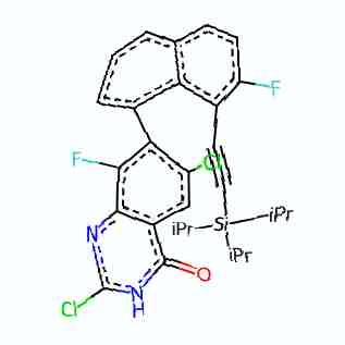 CC(C)[Si](C#Cc1c(F)ccc2cccc(-c3c(Cl)cc4c(=O)[nH]c(Cl)nc4c3F)c12)(C(C)C)C(C)C